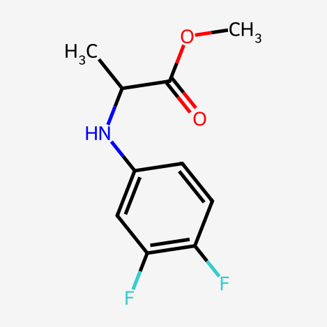 COC(=O)C(C)Nc1ccc(F)c(F)c1